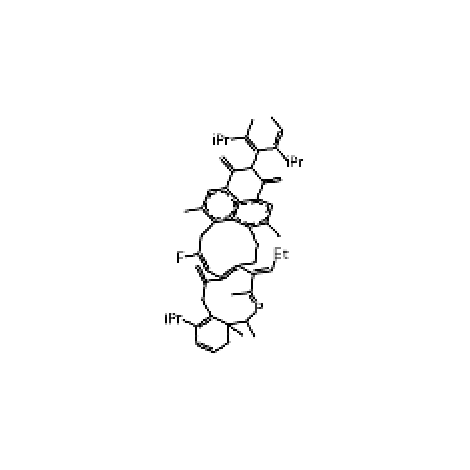 C=C1CC2=C(C(C)C)C=CCC2(C)C(C)/P=C(C)/C(=C/CC)C2=C1\C=C(\F)Cc1c(C)cc3c4c(cc(C)c(c14)CC\2)C(=C)C(C(/C(=C\C)C(C)C)=C(/C)C(C)C)C3=C